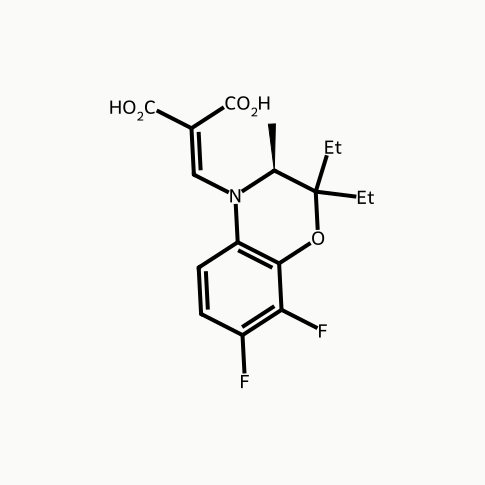 CCC1(CC)Oc2c(ccc(F)c2F)N(C=C(C(=O)O)C(=O)O)[C@H]1C